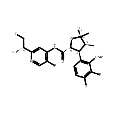 COc1c([C@H]2[C@H](C(=O)Nc3cc([C@H](O)CF)ncc3F)O[C@@](C)(C(F)(F)F)[C@H]2C)ccc(F)c1F